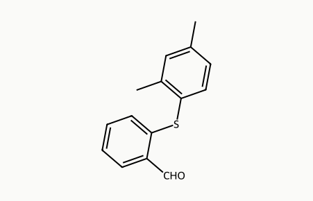 Cc1ccc(Sc2ccccc2C=O)c(C)c1